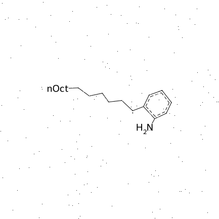 CCCCCCCCCCCCC[CH]c1ccccc1N